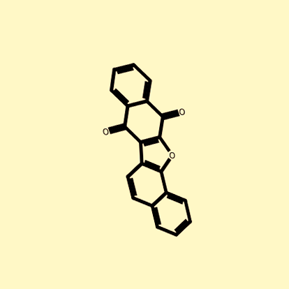 O=C1c2ccccc2C(=O)c2c1oc1c2ccc2ccccc21